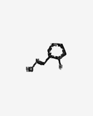 ON=Cc1c[c]ccc1F